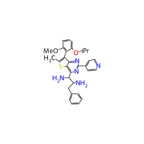 COc1cccc(OC(C)C)c1-c1c(C)sc2c(C(N)C(N)Cc3ccccc3)nc(-c3ccncc3)nc12